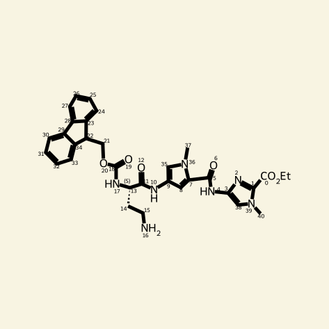 CCOC(=O)c1nc(NC(=O)c2cc(NC(=O)[C@H](CCN)NC(=O)OCC3c4ccccc4-c4ccccc43)cn2C)cn1C